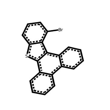 Brc1cccc2sc3c4ccccc4c4ccccc4c3c12